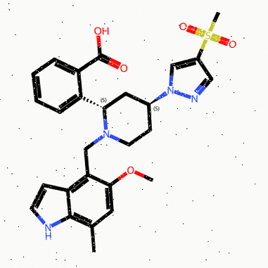 COc1cc(C)c2[nH]ccc2c1CN1CC[C@H](n2cc(S(C)(=O)=O)cn2)C[C@H]1c1ccccc1C(=O)O